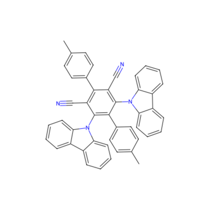 Cc1ccc(-c2c(C#N)c(-n3c4ccccc4c4ccccc43)c(-c3ccc(C)cc3)c(-n3c4ccccc4c4ccccc43)c2C#N)cc1